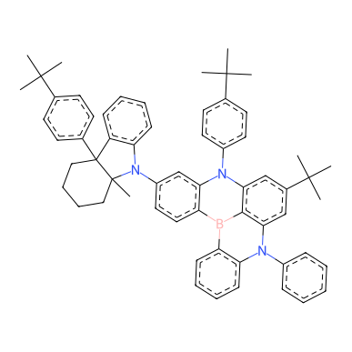 CC(C)(C)c1ccc(N2c3cc(N4c5ccccc5C5(c6ccc(C(C)(C)C)cc6)CCCCC45C)ccc3B3c4ccccc4N(c4ccccc4)c4cc(C(C)(C)C)cc2c43)cc1